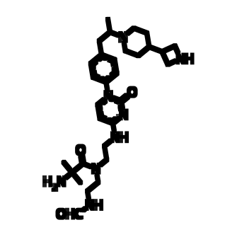 CC(Cc1ccc(-n2ccc(NCCN(CCNC=O)C(=O)C(C)(C)N)nc2=O)cc1)N1CCC(C2CNC2)CC1